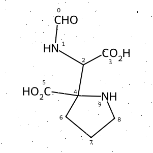 O=CNC(C(=O)O)C1(C(=O)O)CCCN1